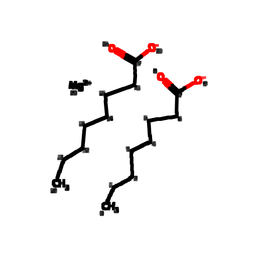 CCCCCCCC(=O)[O-].CCCCCCCC(=O)[O-].[Mg+2]